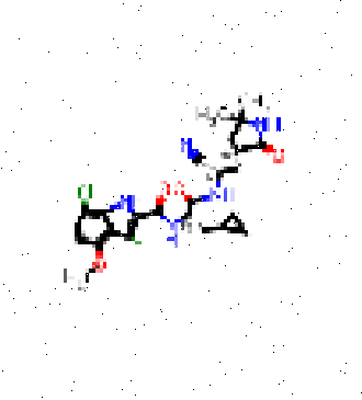 COc1ccc(Cl)c2[nH]c(C(=O)N[C@@H](CC3CC3)C(=O)N[C@H](C#N)C[C@@H]3CC(C)(C)NC3=O)c(F)c12